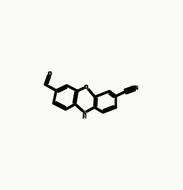 N#Cc1ccc2c(c1)Oc1cc(C=O)ccc1N2